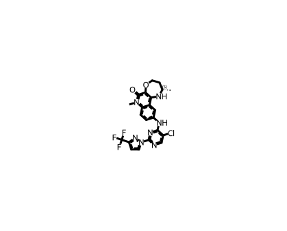 C[C@H]1CCOc2c(c3cc(Nc4nc(-n5ccc(C(F)(F)F)n5)ncc4Cl)ccc3n(C)c2=O)N1